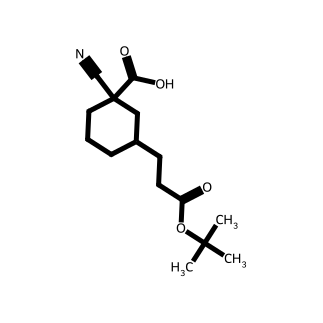 CC(C)(C)OC(=O)CCC1CCCC(C#N)(C(=O)O)C1